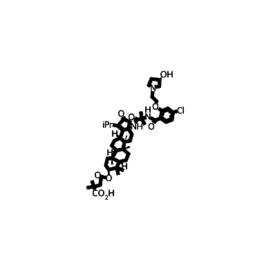 CC(C)C1=C2[C@H]3CC[C@@H]4[C@@]5(C)CC[C@H](OC(=O)CC(C)(C)C(=O)O)C(C)(C)[C@@H]5CC[C@@]4(C)[C@]3(C)CC[C@@]2(NC(=O)C(C)(C)NC(=O)c2ccc(Cl)cc2OCCN2CC[C@H](O)C2)CC1=O